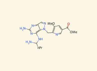 CCCC(N)Nc1nc(N)nc2cnn(Cc3ncc(C(=O)OC)cc3OC)c12